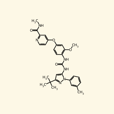 CNC(=O)c1cc(Oc2ccc(NC(=O)Nc3cc(C(C)(C)C)nn3-c3cccc(C)c3)c(OC)c2)ccn1